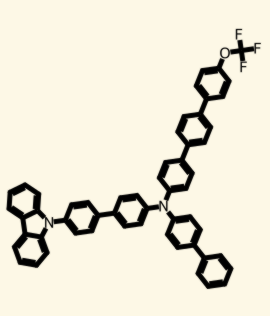 FC(F)(F)Oc1ccc(-c2ccc(-c3ccc(N(c4ccc(-c5ccccc5)cc4)c4ccc(-c5ccc(-n6c7ccccc7c7ccccc76)cc5)cc4)cc3)cc2)cc1